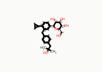 CC(C)(O)Cc1ccc(Cc2cc([C@@H]3O[C@H](CO)[C@@H](O)[C@H](O)[C@H]3O)ccc2C2CC2)cc1